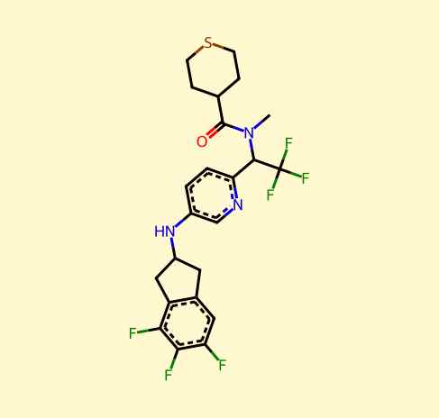 CN(C(=O)C1CCSCC1)C(c1ccc(NC2Cc3cc(F)c(F)c(F)c3C2)cn1)C(F)(F)F